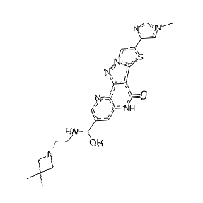 Cn1cnc(-c2cn3nc4c5ncc(C(O)NCCN6CC(C)(C)C6)cc5[nH]c(=O)c4c3s2)c1